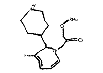 CC(C)(C)OC(=O)N1C=CC=C(F)C1C1CCNCC1